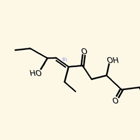 CCC(=O)C(O)CC(=O)/C(=C/C(O)CC)CC